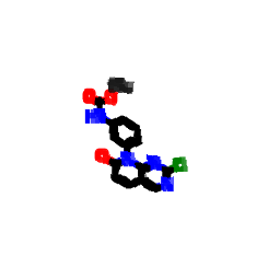 CC(C)(C)OC(=O)Nc1cccc(-n2c(=O)ccc3cnc(Cl)nc32)c1